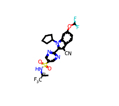 C[C@H](NS(=O)(=O)c1cnc(-c2c(C#N)c3ccc(OC(F)F)cc3n2C2CCCC2)nc1)C(F)(F)F